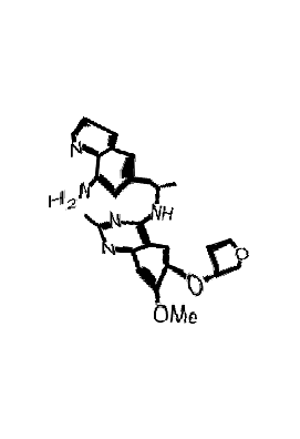 COc1cc2nc(C)nc(N[C@H](C)c3cc(N)c4ncccc4c3)c2cc1O[C@H]1CCOC1